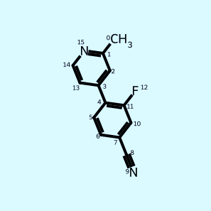 Cc1cc(-c2ccc(C#N)cc2F)ccn1